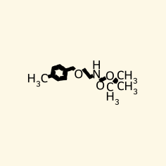 Cc1ccc(COCCNC(=O)OC(C)(C)C)cc1